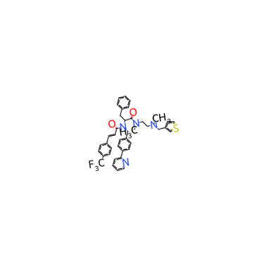 CN(CCN(C)C(=O)C(Cc1ccccc1)N(Cc1ccc(-c2ccccn2)cc1)C(=O)C=Cc1ccc(C(F)(F)F)cc1)Cc1ccsc1